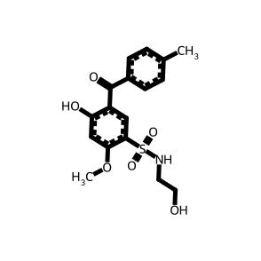 COc1cc(O)c(C(=O)c2ccc(C)cc2)cc1S(=O)(=O)NCCO